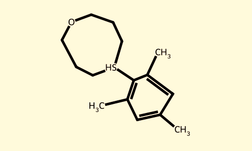 Cc1cc(C)c([SH]2CCCOCCC2)c(C)c1